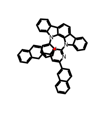 C1=CC(c2cc(-c3ccc4ccccc4c3)nc(-n3c4ccccc4c4ccc5c6ccccc6n(-c6ccccc6)c5c43)n2)Cc2ccccc21